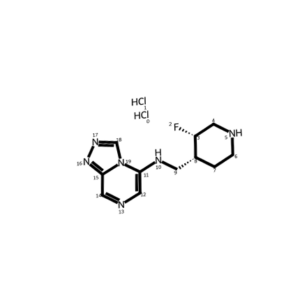 Cl.Cl.F[C@@H]1CNCC[C@@H]1CNc1cncc2nncn12